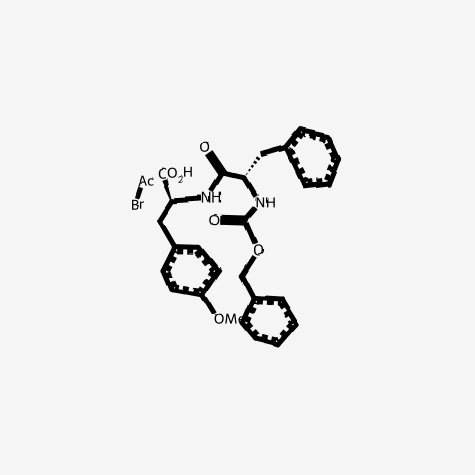 CC(=O)Br.COc1ccc(C[C@H](NC(=O)[C@H](Cc2ccccc2)NC(=O)OCc2ccccc2)C(=O)O)cc1